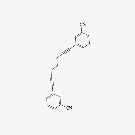 N#Cc1cccc(C#CCCCC#Cc2cccc(C#N)c2)c1